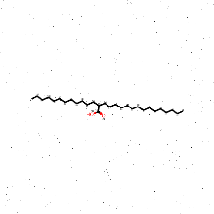 CCCCCCCCCCCCCCCC(CCCCCCCCCCCC)C(=O)O